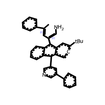 C/C(=C\C(=C/N)c1c2ccccc2c(-c2cncc(-c3ccccc3)c2)c2ccc(C(C)(C)C)cc12)c1ccccc1